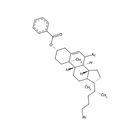 CC(=O)C1C=C2C[C@@H](OC(=O)c3ccccc3)CC[C@]2(C)[C@H]2CC[C@]3(C)[C@@H]([C@H](C)CCCC(C)C)CC[C@H]3[C@H]12